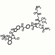 CC(C)[C@H](NCCNC(=O)CON)C(=O)N[C@@H](CCCNC(N)=O)C(=O)Nc1ccc(C(=O)Nc2ccc3[nH]c(C(=O)N4C[C@@H](CCl)c5c4cc(OP(=O)(O)O)c4ccccc54)cc3c2)cc1